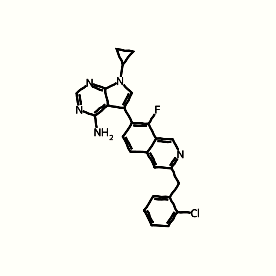 Nc1ncnc2c1c(-c1ccc3cc(Cc4ccccc4Cl)ncc3c1F)cn2C1CC1